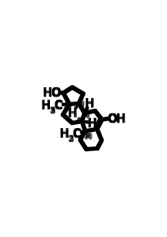 C[C@]12CCCCC1=C(O)C[C@@H]1[C@H]2CC[C@]2(C)C(O)CC[C@@H]12